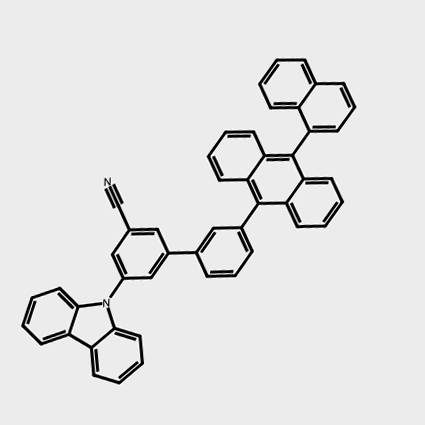 N#Cc1cc(-c2cccc(-c3c4ccccc4c(-c4cccc5ccccc45)c4ccccc34)c2)cc(-n2c3ccccc3c3ccccc32)c1